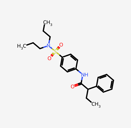 CCCN(CCC)S(=O)(=O)c1ccc(NC(=O)C(CC)c2ccccc2)cc1